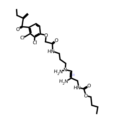 C=C(CC)C(=O)c1ccc(OCC(=O)NCCCN(N)/C=C(\N)CNC(=O)OCCCC)c(Cl)c1Cl